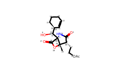 CC(=O)OCC[C@H]1C(=O)N[C@@]2([C@@H](O)[C@@H]3C=CCCC3)C(=O)O[C@@]12C